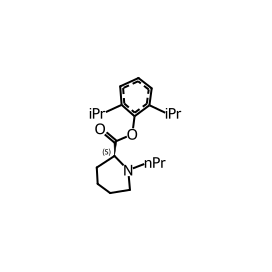 CCCN1CCCC[C@H]1C(=O)Oc1c(C(C)C)cccc1C(C)C